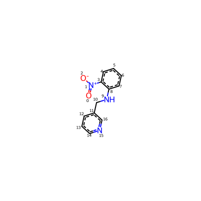 O=[N+]([O-])c1ccccc1NCc1cccnc1